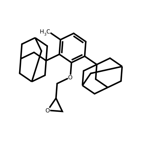 Cc1ccc(C23CC4CC(CC(C4)C2)C3)c(OCC2CO2)c1C12CC3CC(CC(C3)C1)C2